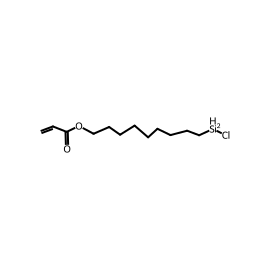 C=CC(=O)OCCCCCCCCC[SiH2]Cl